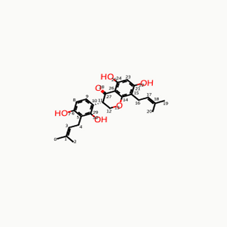 CC(C)=CCc1c(O)ccc([C@H]2COc3c(CC=C(C)C)c(O)cc(O)c3C2=O)c1O